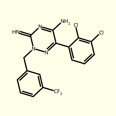 N=c1nc(N)c(-c2cccc(Cl)c2Cl)nn1Cc1cccc(C(F)(F)F)c1